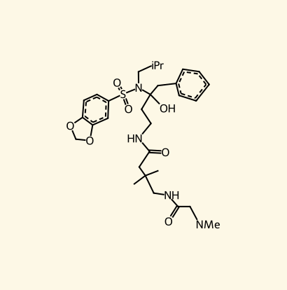 CNCC(=O)NCC(C)(C)CC(=O)NCCC(O)(Cc1ccccc1)N(CC(C)C)S(=O)(=O)c1ccc2c(c1)OCO2